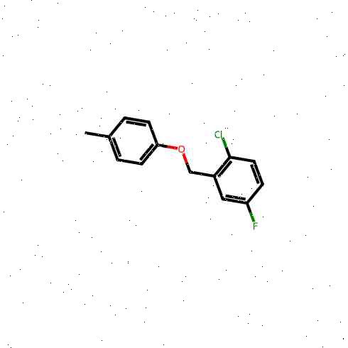 Cc1ccc(OCc2cc(F)ccc2Cl)cc1